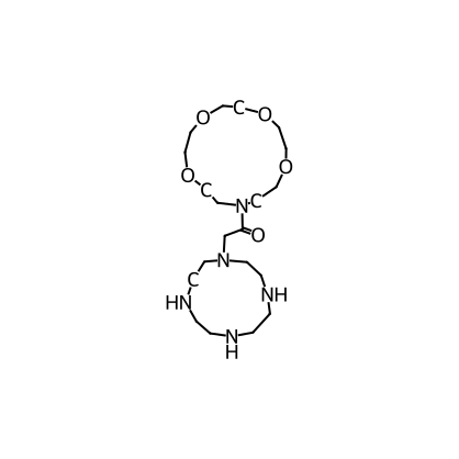 O=C(CN1CCNCCNCCNCC1)N1CCOCCOCCOCCOCC1